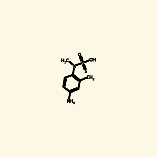 Cc1cc(N)ccc1N(C)S(=O)(O)=S